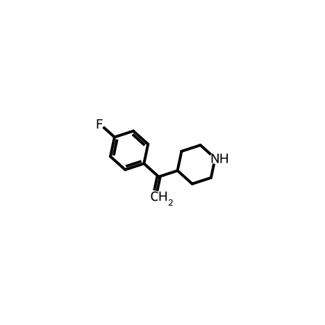 C=C(c1ccc(F)cc1)C1CCNCC1